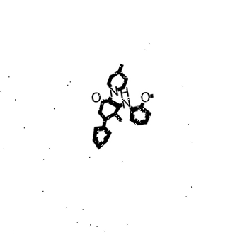 COc1ccccc1NC1=C(N2CCC(C)CC2)C(=O)CC(c2ccccc2)C1C